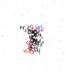 CC(C)C1=C2[C@H]3CC[C@@H]4[C@@]5(C)CC[C@H](OC(=O)[C@H]6C[C@@H](C(=O)O)C6(C)C)C(C)(C)[C@@H]5CC[C@@]4(C)[C@]3(C)CC[C@@]2([C@@H](O)CN)CC1=O